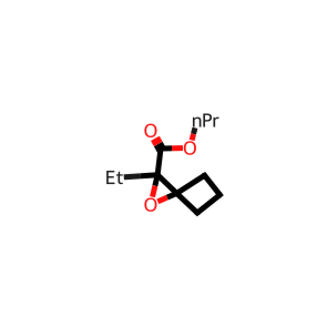 CCCOC(=O)C1(CC)OC12CCC2